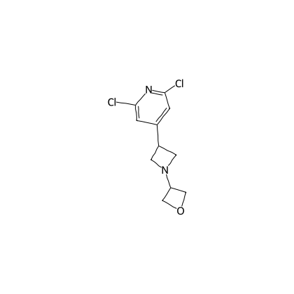 Clc1cc(C2CN(C3COC3)C2)cc(Cl)n1